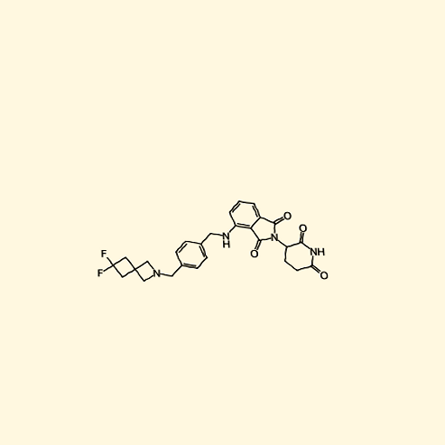 O=C1CCC(N2C(=O)c3cccc(NCc4ccc(CN5CC6(C5)CC(F)(F)C6)cc4)c3C2=O)C(=O)N1